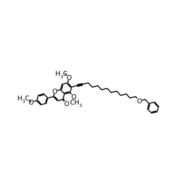 COc1ccc(-c2cc(=O)c3c(OC)c(C#CCCCCCCCCCCCOCc4ccccc4)c(OC)cc3o2)cc1